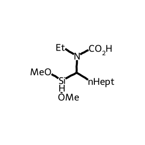 CCCCCCCC(N(CC)C(=O)O)[SiH](OC)OC